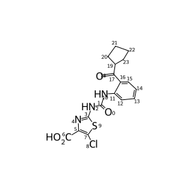 O=C(Nc1nc(C(=O)O)c(Cl)s1)Nc1ccccc1C(=O)C1CCCC1